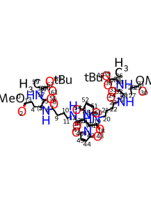 COC(=O)CC[C@H](NC(=O)CCCNC(=O)[C@H]([C@@H](C(=O)NCCCC(=O)N[C@@H](CCC(=O)OC)C(=O)N[C@@H](C)C(=O)OC(C)(C)C)N1C(=O)C=CC1=O)N1C(=O)C=CC1=O)C(=O)N[C@@H](C)C(=O)OC(C)(C)C